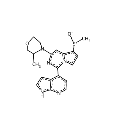 CC1COCCN1c1cc2c([S+](C)[O-])ccn2c(-c2ccnc3[nH]ccc23)n1